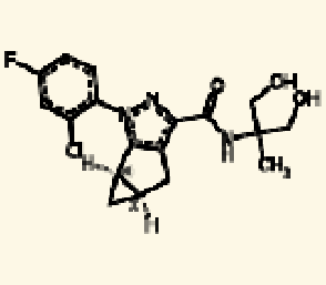 CC(CO)(CO)NC(=O)c1nn(-c2ccc(F)cc2Cl)c2c1C[C@H]1C[C@@H]21